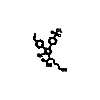 Cc1c(C(CCCCO)C(=O)O)cc(-c2ccc(S(C)(=O)=O)cc2)n1-c1ccc(C=S)cc1